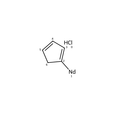 Cl.[Nd][C]1=CC=CC1